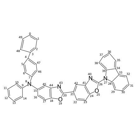 c1ccc(-c2ccc(N(c3ccccc3)c3ccc4oc(-c5ccc6oc(-n7c8ccccc8c8ccccc87)nc6c5)nc4c3)cc2)cc1